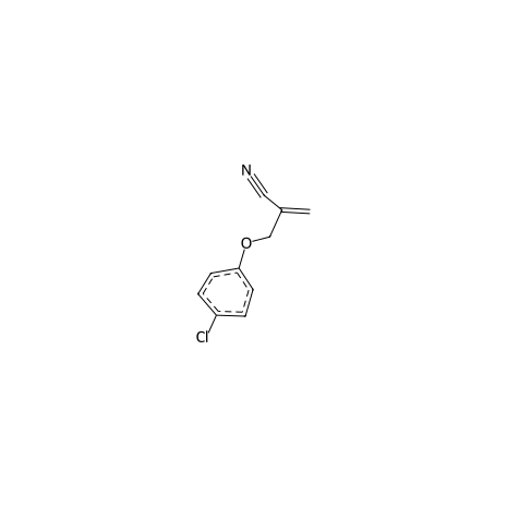 C=C(C#N)COc1ccc(Cl)cc1